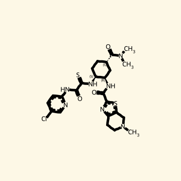 CN1CCc2nc(C(=O)N[C@@H]3C[C@@H](C(=O)N(C)C)CC[C@@H]3NC(=S)C(=O)Nc3ccc(Cl)cn3)sc2C1